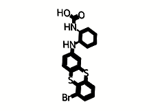 O=C(O)N[C@@H]1CCCC[C@H]1Nc1ccc2c(c1)Sc1cccc(Br)c1S2